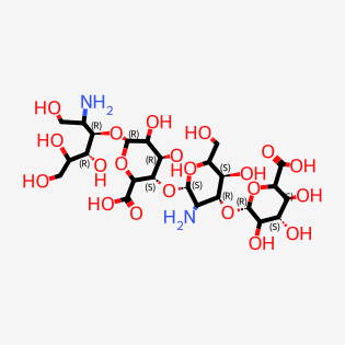 NC(CO)[C@@H](O[C@@H]1OC(C(=O)O)[C@@H](O[C@@H]2OC(CO)[C@@H](O)[C@H](O[C@@H]3OC(C(=O)O)[C@@H](O)[C@H](O)C3O)C2N)[C@H](O)C1O)[C@H](O)C(O)CO